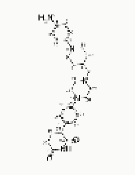 Nc1ccc(N2CCC(CN3CCN(c4ccc(C5CCC(=O)NC5=O)cc4)CC3)CC2)cc1